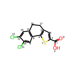 O=C(O)c1cc2c(s1)-c1cc(Cl)c(Cl)cc1CC2